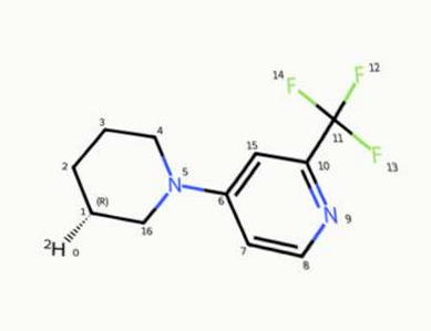 [2H][C@@H]1CCCN(c2ccnc(C(F)(F)F)c2)C1